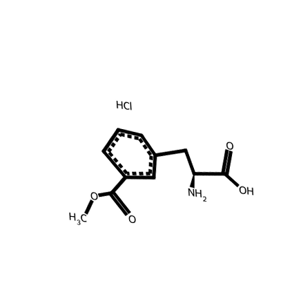 COC(=O)c1cccc(C[C@H](N)C(=O)O)c1.Cl